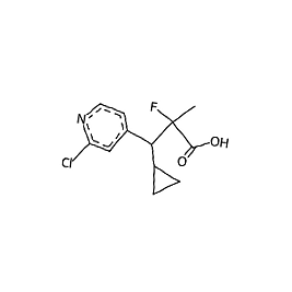 CC(F)(C(=O)O)C(c1ccnc(Cl)c1)C1CC1